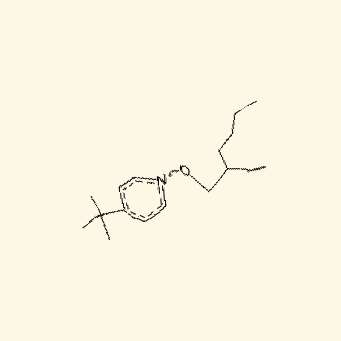 CCCCC(CC)CO[n+]1ccc(C(C)(C)C)cc1